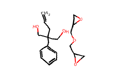 C(OCC1CO1)C1CO1.C=CCC(CO)(CO)c1ccccc1